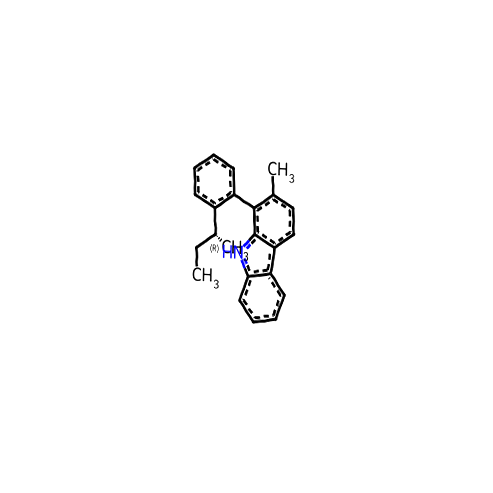 CC[C@@H](C)c1ccccc1-c1c(C)ccc2c1[nH]c1ccccc12